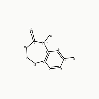 Cc1ccc2c(c1)N(C)C(=O)CCC2